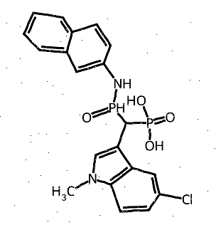 Cn1cc(C([PH](=O)Nc2ccc3ccccc3c2)P(=O)(O)O)c2cc(Cl)ccc21